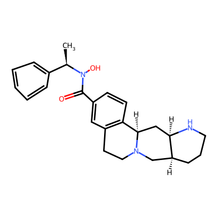 C[C@H](c1ccccc1)N(O)C(=O)c1ccc2c(c1)CCN1C[C@@H]3CCCN[C@@H]3C[C@H]21